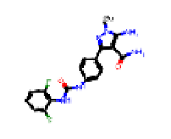 CC(C)(C)n1nc(-c2ccc(NC(=O)Nc3c(F)cccc3F)cc2)c(C(N)=O)c1N